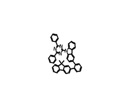 CC1(C)c2ccccc2-c2ccc(-c3ccccc3-c3ccc4c(c3)c3ccccc3n4-c3nc(-c4ccccc4)nc(-c4ccccc4)n3)cc21